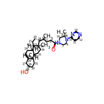 C[C@H](CCC(=O)N1CCN(c2ccncn2)[C@@H](C)C1)[C@H]1CC[C@H]2[C@@H]3CC=C4C[C@@H](O)CC[C@]4(C)[C@H]3CC[C@]12C